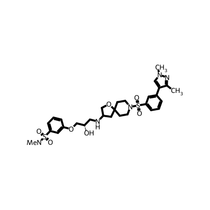 CNS(=O)(=O)c1cccc(OC[C@@H](O)CNC2COC3(CCN(S(=O)(=O)c4cccc(-c5cn(C)nc5C)c4)CC3)C2)c1